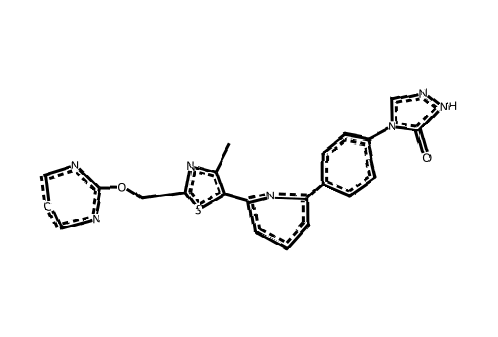 Cc1nc(COc2ncccn2)sc1-c1cccc(-c2ccc(-n3cn[nH]c3=O)cc2)n1